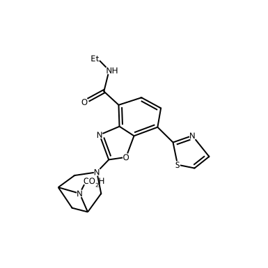 CCNC(=O)c1ccc(-c2nccs2)c2oc(N3CC4CC(C3)N4C(=O)O)nc12